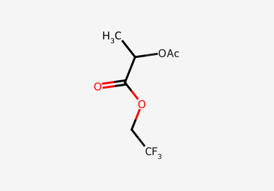 CC(=O)OC(C)C(=O)OCC(F)(F)F